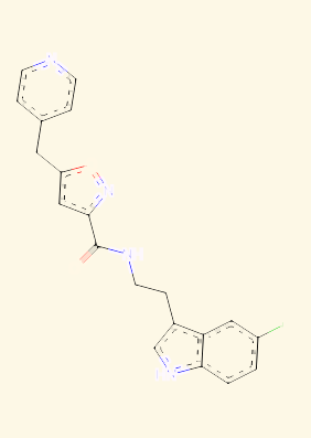 O=C(NCCc1c[nH]c2ccc(Cl)cc12)c1cc(Cc2ccncc2)on1